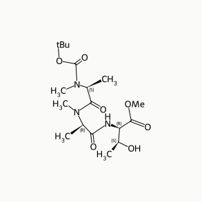 COC(=O)[C@H](NC(=O)[C@@H](C)N(C)C(=O)[C@H](C)N(C)C(=O)OC(C)(C)C)[C@H](C)O